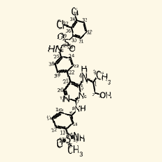 CC(CO)Nc1nc(Nc2cccc(S(C)(=N)=O)c2)ncc1-c1ccc(NS(=O)(=O)c2cccc(Cl)c2Cl)cc1